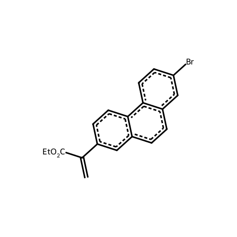 C=C(C(=O)OCC)c1ccc2c(ccc3cc(Br)ccc32)c1